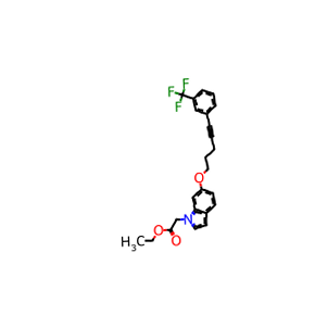 CCOC(=O)Cn1ccc2ccc(OCCCC#Cc3cccc(C(F)(F)F)c3)cc21